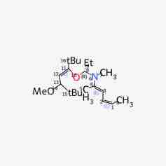 C/C=C\C=C(/C)N(C)[C@@H](CC)O/C(=C\C(OC)C(C)(C)C)C(C)(C)C